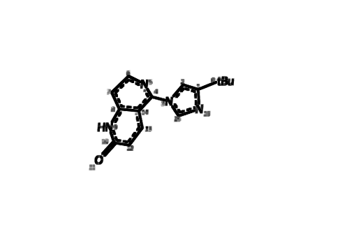 CC(C)(C)c1cn(-c2nccc3[nH]c(=O)ccc23)cn1